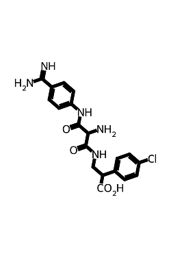 N=C(N)c1ccc(NC(=O)C(N)C(=O)NCC(C(=O)O)c2ccc(Cl)cc2)cc1